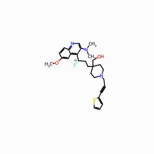 COc1ccc2ncc(N(C)C)c([C@@H](F)CCC3(CO)CCN(CC#Cc4cccs4)CC3)c2c1